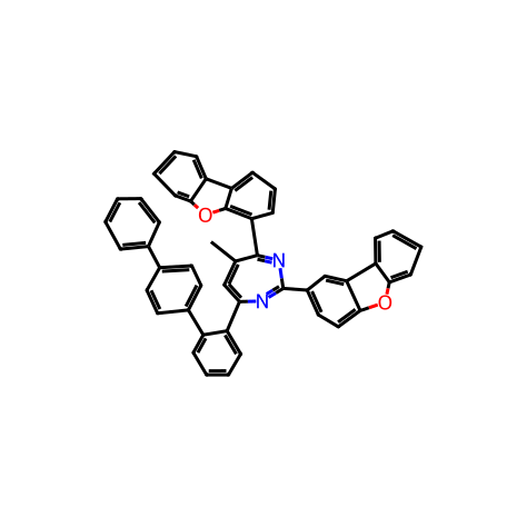 CC1=C=C(c2ccccc2-c2ccc(-c3ccccc3)cc2)N=C(c2ccc3oc4ccccc4c3c2)N=C1c1cccc2c1oc1ccccc12